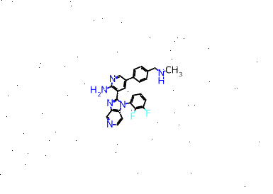 CNCc1ccc(-c2cnc(N)c(-c3nc4cnccc4n3-c3cccc(F)c3F)c2)cc1